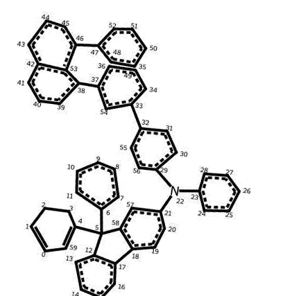 C1=CCCC(C2(c3ccccc3)c3ccccc3-c3ccc(N(c4ccccc4)c4ccc(-c5cccc(-c6cccc7cccc(-c8ccccc8)c67)c5)cc4)cc32)=C1